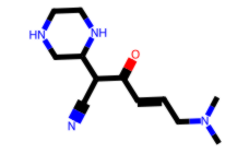 CN(C)CC=CC(=O)C(C#N)C1CNCCN1